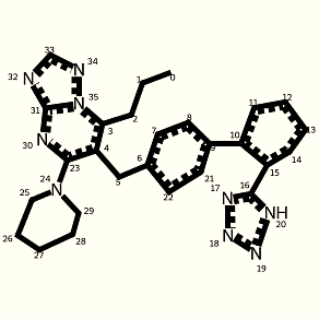 CCCc1c(Cc2ccc(-c3ccccc3-c3nnn[nH]3)cc2)c(N2CCCCC2)nc2ncnn12